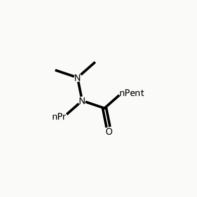 [CH2]CCCCC(=O)N(CCC)N(C)C